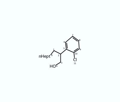 CCCCCCCCC(CO)c1ccccc1Cl